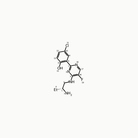 CC[C@@H](N)CNc1nc(-c2cc(Cl)ccc2O)ncc1F